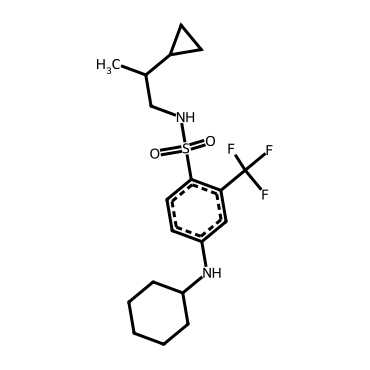 CC(CNS(=O)(=O)c1ccc(NC2CCCCC2)cc1C(F)(F)F)C1CC1